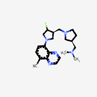 CN(C)C[C@@H]1CCN(C[C@H]2CN(c3ccc(C#N)c4nccnc34)CC2F)C1